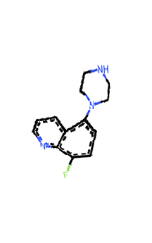 Fc1ccc(N2CCNCC2)c2cccnc12